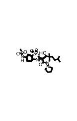 CC(C)CCC1(C)CN(N2CCCC2)C(=O)C(C2=NS(=O)(=O)c3cc(NS(C)(=O)=O)ccc3N2)=C1O